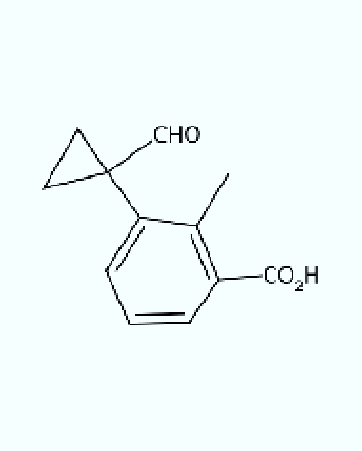 Cc1c(C(=O)O)cccc1C1(C=O)CC1